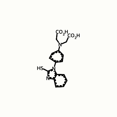 O=C(O)CN(CC(=O)O)c1ccc(-n2c(S)nc3ccccc32)cc1